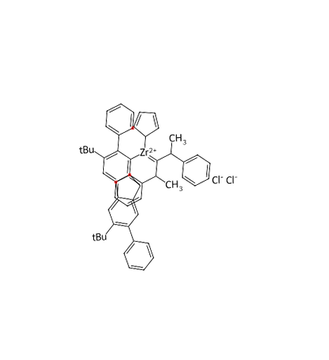 CC([C](C(C)c1ccccc1)=[Zr+2]([c]1c2c(cc(C(C)(C)C)c1-c1ccccc1)-c1cc(C(C)(C)C)c(-c3ccccc3)cc1C2)[CH]1C=CC=C1)c1ccccc1.[Cl-].[Cl-]